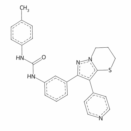 Cc1ccc(NC(=O)Nc2cccc(-c3nn4c(c3-c3ccncc3)SCCC4)c2)cc1